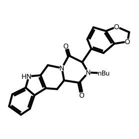 CCCCN1C(=O)C2Cc3c([nH]c4ccccc34)CN2C(=O)C1c1ccc2c(c1)OCO2